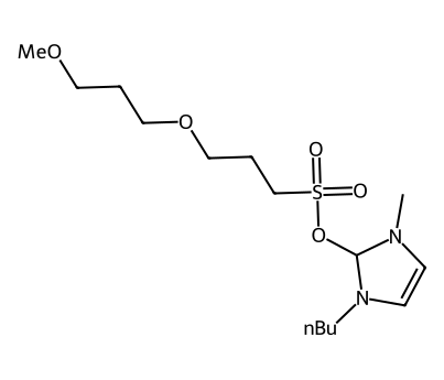 CCCCN1C=CN(C)C1OS(=O)(=O)CCCOCCCOC